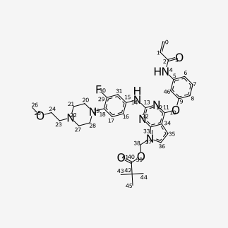 C=CC(=O)Nc1cccc(Oc2nc(Nc3ccc(N4CCN(CCOC)CC4)c(F)c3)nc3c2ccn3COC(=O)C(C)(C)C)c1